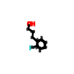 OC[CH]Cc1ccccc1F